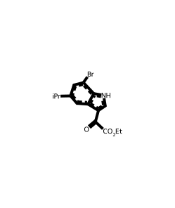 CCOC(=O)C(=O)c1c[nH]c2c(Br)cc(C(C)C)cc12